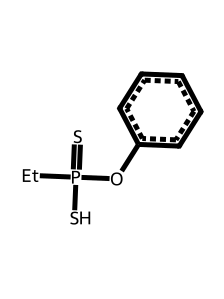 CCP(=S)(S)Oc1ccccc1